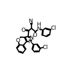 N#CC(C(=O)Nc1cccc(Cl)c1)C(=O)c1nn(-c2cccc(Cl)c2)c2c1COc1ccccc1-2